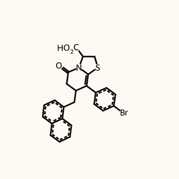 O=C(O)C1CSC2=C(c3ccc(Br)cc3)C(Cc3cccc4ccccc34)CC(=O)N21